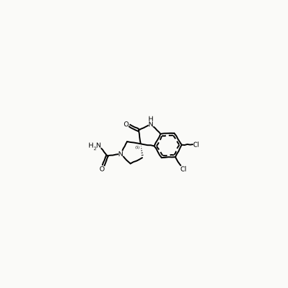 NC(=O)N1CC[C@]2(C1)C(=O)Nc1cc(Cl)c(Cl)cc12